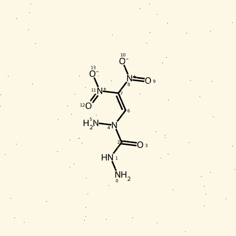 NNC(=O)N(N)C=C([N+](=O)[O-])[N+](=O)[O-]